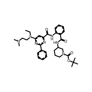 CCN(CCN(C)C)c1cc(C(=O)Nc2ccccc2C(=O)NC2CCCN(C(=O)OC(C)(C)C)C2)nc(-c2ccccc2)n1